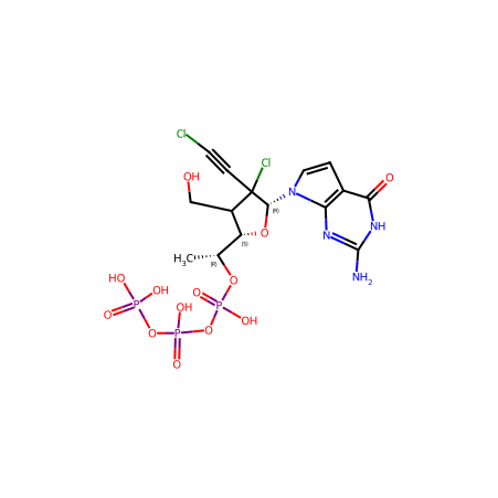 C[C@@H](OP(=O)(O)OP(=O)(O)OP(=O)(O)O)[C@H]1O[C@@H](n2ccc3c(=O)[nH]c(N)nc32)C(Cl)(C#CCl)C1CO